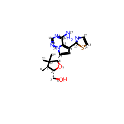 C[C@@H]1[C@@H](CO)O[C@@H](c2cc(-c3nccs3)c3c(N)ncnn23)C1(C)C